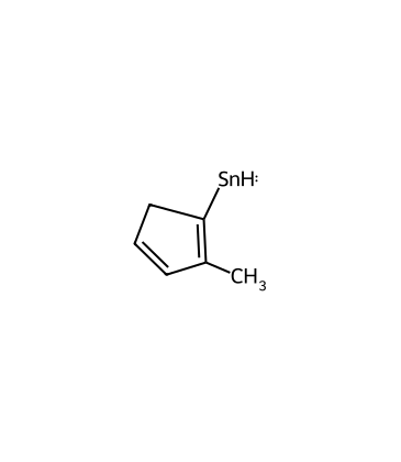 CC1=[C]([SnH])CC=C1